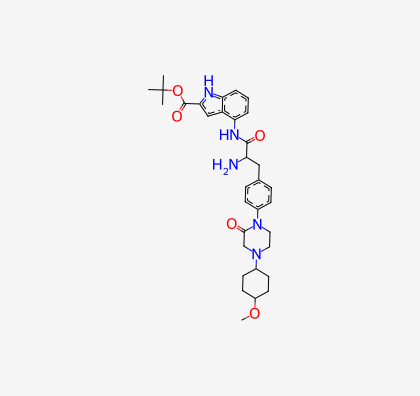 COC1CCC(N2CCN(c3ccc(CC(N)C(=O)Nc4cccc5[nH]c(C(=O)OC(C)(C)C)cc45)cc3)C(=O)C2)CC1